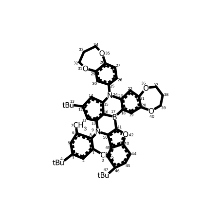 Cc1cc(C(C)(C)C)cc(C)c1N1c2cc(C(C)(C)C)cc3c2B(c2cc4c(cc2N3c2ccc3c(c2)OCCCO3)OCCCO4)c2oc3ccc(C(C)(C)C)cc3c21